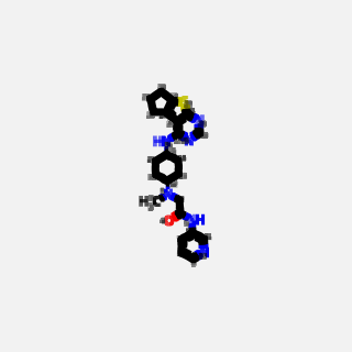 CN(CC(=O)Nc1cccnc1)[C@H]1CC[C@@H](Nc2ncnc3sc4c(c23)CCC4)CC1